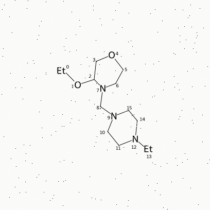 CCOC1COCCN1[CH]N1CCN(CC)CC1